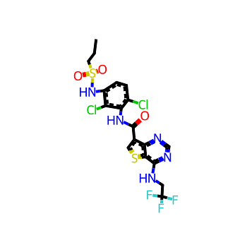 CCCS(=O)(=O)Nc1ccc(Cl)c(NC(=O)c2csc3c(NCC(F)(F)F)ncnc23)c1Cl